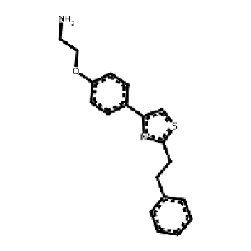 NCCOc1ccc(-c2csc(CCc3ccccc3)n2)cc1